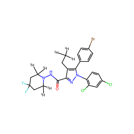 [2H]C([2H])([2H])Cc1c(C(=O)NN2C([2H])([2H])CC(F)(F)CC2([2H])[2H])nn(-c2ccc(Cl)cc2Cl)c1-c1ccc(Br)cc1